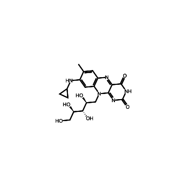 Cc1cc2nc3c(=O)[nH]c(=O)nc-3n(C[C@H](O)[C@H](O)[C@H](O)CO)c2cc1NC1CC1